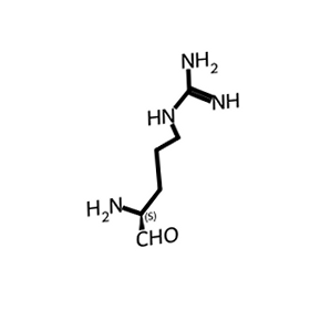 N=C(N)NCCC[C@H](N)C=O